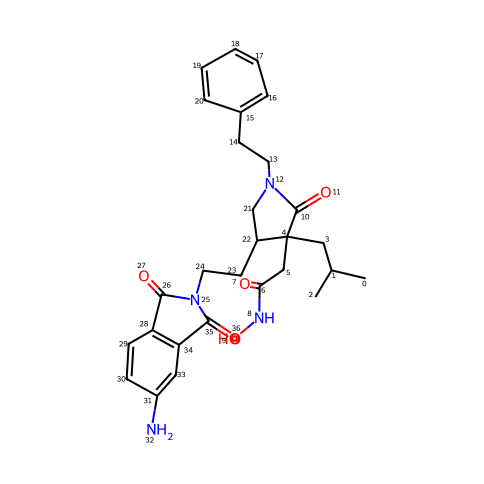 CC(C)CC1(CC(=O)NO)C(=O)N(CCc2ccccc2)CC1CCN1C(=O)c2ccc(N)cc2C1=O